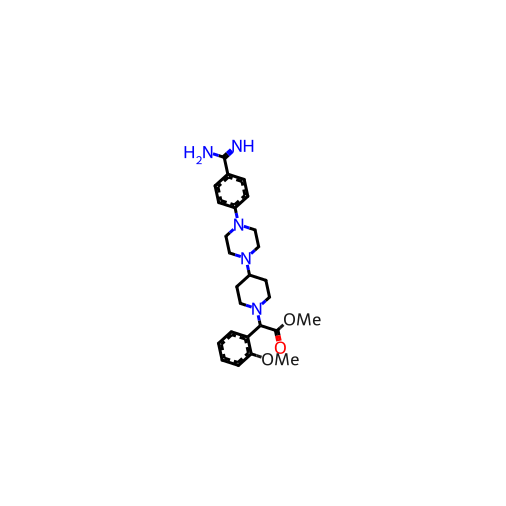 COC(=O)C(c1ccccc1OC)N1CCC(N2CCN(c3ccc(C(=N)N)cc3)CC2)CC1